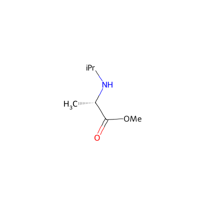 COC(=O)[C@H](C)NC(C)C